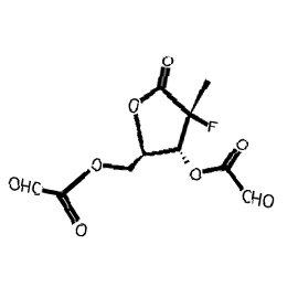 C[C@]1(F)C(=O)O[C@H](COC(=O)C=O)[C@H]1OC(=O)C=O